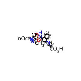 CCCCCCCCn1nc(C)c(S(=O)(=O)Nc2ccc(N3CC[C@@H](C(=O)O)C3)c3ccccc23)c1C